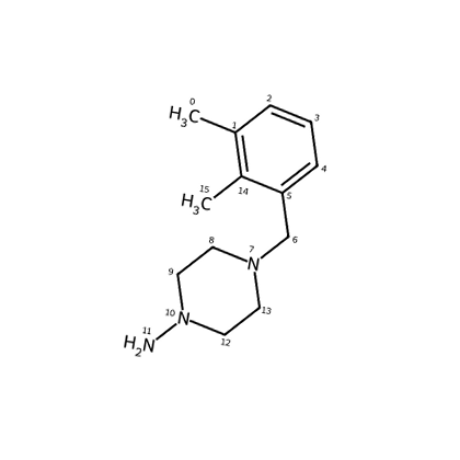 Cc1cccc(CN2CCN(N)CC2)c1C